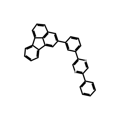 c1ccc(-c2cnc(-c3cccc(-c4cc5c6c(cccc6c4)-c4ccccc4-5)c3)cn2)cc1